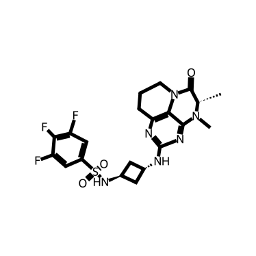 C[C@H]1C(=O)N2CCCc3nc(N[C@H]4C[C@H](NS(=O)(=O)c5cc(F)c(F)c(F)c5)C4)nc(c32)N1C